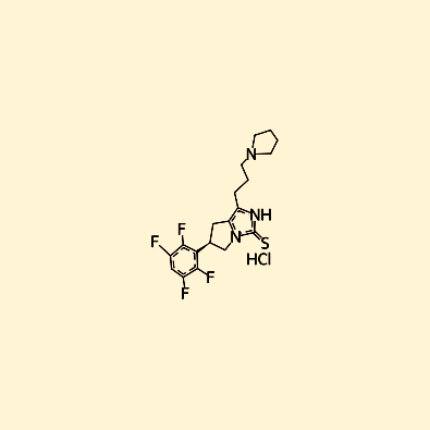 Cl.Fc1cc(F)c(F)c([C@H]2Cc3c(CCCN4CCCC4)[nH]c(=S)n3C2)c1F